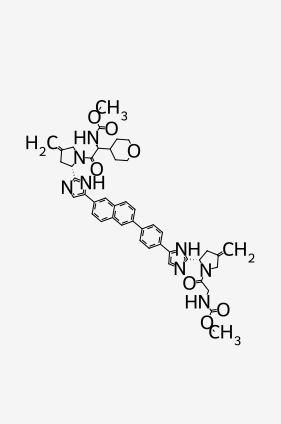 C=C1C[C@@H](c2ncc(-c3ccc(-c4ccc5cc(-c6cnc([C@@H]7CC(=C)CN7C(=O)[C@@H](NC(=O)OC)C7CCOCC7)[nH]6)ccc5c4)cc3)[nH]2)N(C(=O)CNC(=O)OC)C1